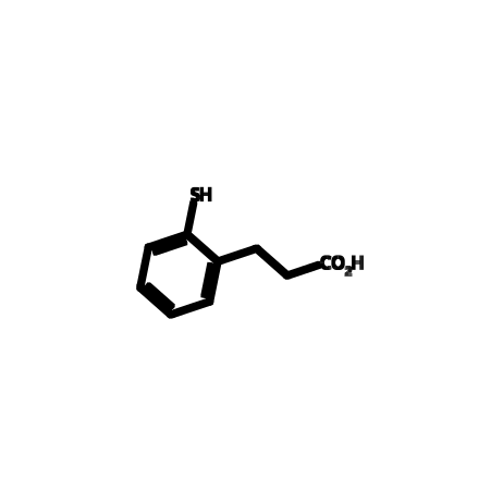 O=C(O)CCc1ccccc1S